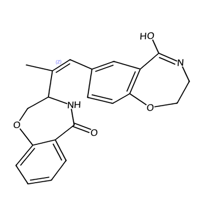 C/C(=C/c1ccc2c(c1)C(O)=NCCO2)C1COc2ccccc2C(=O)N1